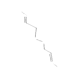 ON=CCSSCC=NO